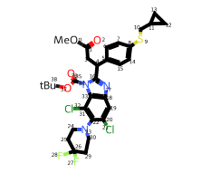 COC(=O)CC(c1ccc(SCC2CC2)cc1)c1nc2cc(Cl)c(N3CCC(F)(F)CC3)c(Cl)c2n1C(=O)OC(C)(C)C